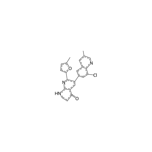 Cc1cnc2c(Cl)cc(-c3cc4c(=O)cc[nH]c4nc3-c3ccc(C)o3)cc2c1